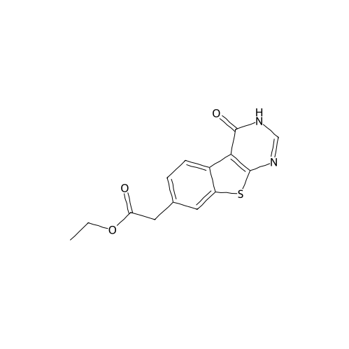 CCOC(=O)Cc1ccc2c(c1)sc1nc[nH]c(=O)c12